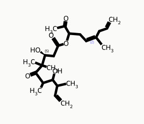 C=CC/C(C)=C\CC(OC(=O)C[C@H](O)C(C)(C)C(=O)C(C)C(O)C(C)C=C)C(C)=O